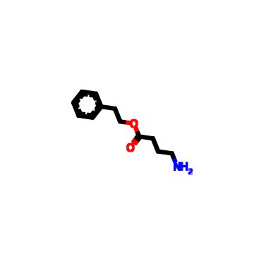 NCCCC(=O)OCCc1ccccc1